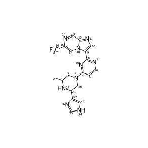 CC1CN(c2ccnc(-c3cnc4cnc(C(F)(F)F)cn34)n2)CC(c2c[nH]cn2)N1